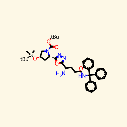 CC(C)(C)OC(=O)N1C[C@H](O[Si](C)(C)C(C)(C)C)C[C@H]1c1nnc([C@@H](N)CCC(=O)NC(c2ccccc2)(c2ccccc2)c2ccccc2)o1